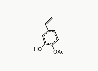 C=Cc1ccc(OC(C)=O)c(O)c1